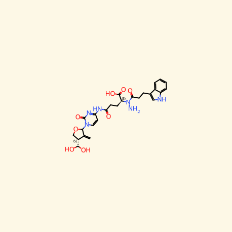 C=C1C(n2ccc(NC(=O)CC[C@@H](C(=O)O)N(N)C(=O)CCc3c[nH]c4ccccc34)nc2=O)OC[C@H]1C(O)O